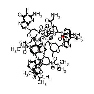 CC(C)P(=O)(OCC1CN(P(=O)(OCC2CN(P(=O)(OCC3CN(P(=O)(OCC4CN(P(=O)(OCC5CN(C(=O)CN)CC(n6ccc(N)nc6=O)O5)N(C)C)CC(n5cnc6c(=O)[nH]c(N)nc65)O4)N(C)C)CC(n4cnc5c(N)ncnc54)O3)N(C)C)CC(n3cnc4c(N)ncnc43)O2)N(C)C)CC(n2cnc3c(N)ncnc32)O1)N(C)C